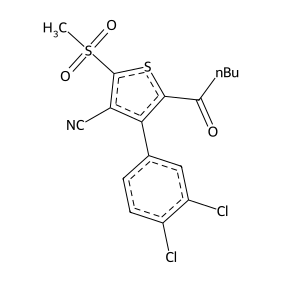 CCCCC(=O)c1sc(S(C)(=O)=O)c(C#N)c1-c1ccc(Cl)c(Cl)c1